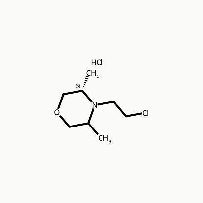 CC1COC[C@H](C)N1CCCl.Cl